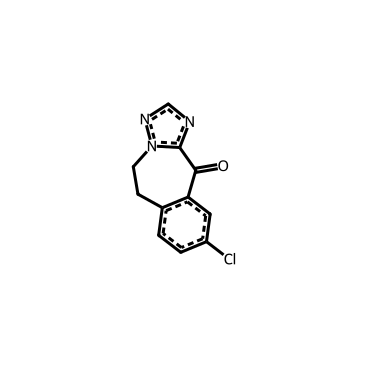 O=C1c2cc(Cl)ccc2CCn2ncnc21